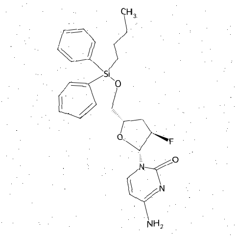 CCCC[Si](OC[C@@H]1C[C@@H](F)[C@H](n2ccc(N)nc2=O)O1)(c1ccccc1)c1ccccc1